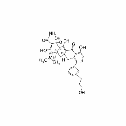 CN(C)[C@@H]1C(O)=C(C(N)=O)C2(O)O[C@@]23C(O)=C2C(=O)c4c(O)ccc(-c5cccc(CCCO)c5)c4C[C@H]2C[C@@H]13